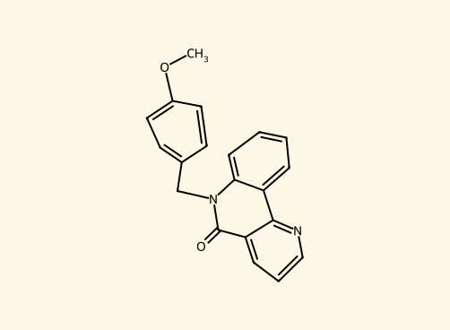 COc1ccc(Cn2c(=O)c3cccnc3c3ccccc32)cc1